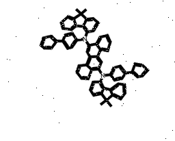 CC1(C)c2ccccc2-c2c(N(c3ccc(-c4ccccc4)cc3)c3cc4c5ccccc5c(N(c5ccc(-c6ccccc6)cc5)c5cccc6c5-c5ccccc5C6(C)C)cc4c4ccccc34)cccc21